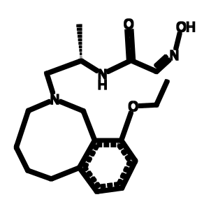 CCOc1cccc2c1CN(C[C@H](C)NC(=O)/C=N\O)CCCC2